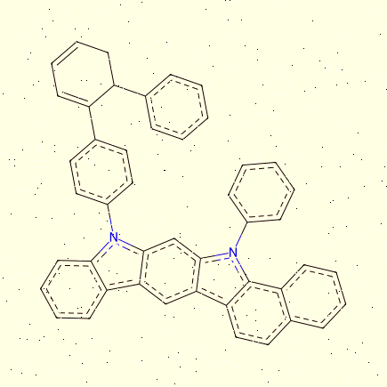 C1=CCC(c2ccccc2)C(c2ccc(-n3c4ccccc4c4cc5c6ccc7ccccc7c6n(-c6ccccc6)c5cc43)cc2)=C1